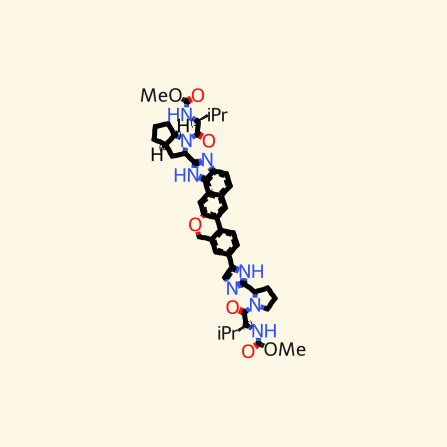 COC(=O)N[C@H](C(=O)N1CCCC1c1ncc(-c2ccc3c(c2)COc2cc4c(ccc5nc(C6C[C@@H]7CCC[C@@H]7N6C(=O)[C@@H](NC(=O)OC)C(C)C)[nH]c54)cc2-3)[nH]1)C(C)C